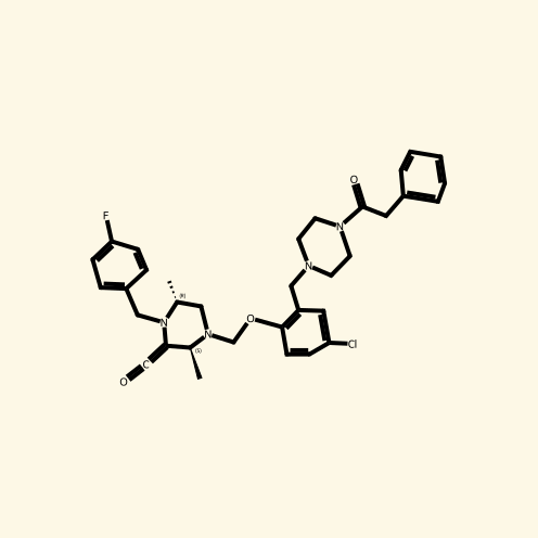 C[C@@H]1CN(COc2ccc(Cl)cc2CN2CCN(C(=O)Cc3ccccc3)CC2)[C@@H](C)C(=C=O)N1Cc1ccc(F)cc1